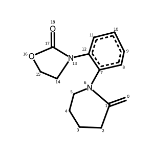 C=C1CCCCN1c1ccccc1N1CCOC1=O